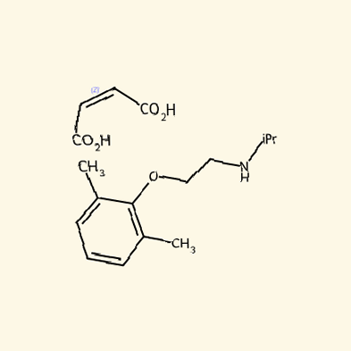 Cc1cccc(C)c1OCCNC(C)C.O=C(O)/C=C\C(=O)O